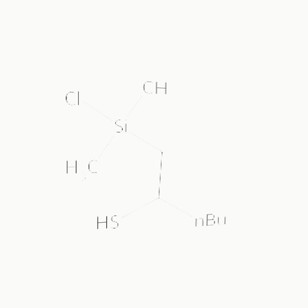 CCCCC(S)C[Si](C)(C)Cl